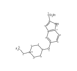 CCOC(=O)c1cc2cc(OC3CCN(CC(F)(F)F)CC3)ccc2[nH]1